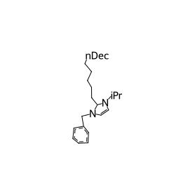 CCCCCCCCCCCCCCCC1N(Cc2ccccc2)C=CN1C(C)C